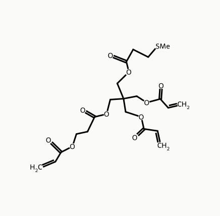 C=CC(=O)OCCC(=O)OCC(COC(=O)C=C)(COC(=O)C=C)COC(=O)CCSC